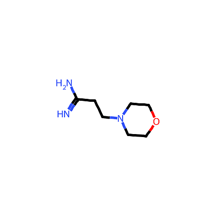 N=C(N)CCN1CCOCC1